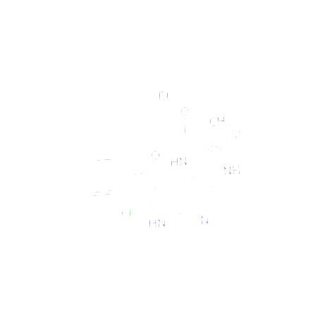 CCOC[C@]1(C)Nc2c(cnc3[nH]cc(C(=O)c4ccccc4Cl)c23)NC1=O